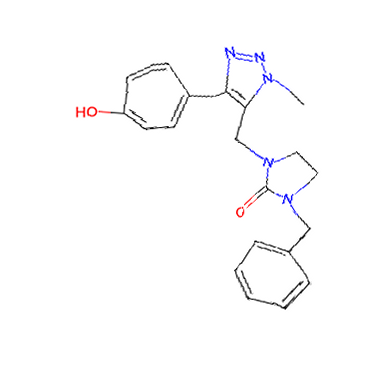 Cn1nnc(-c2ccc(O)cc2)c1CN1CCN(Cc2ccccc2)C1=O